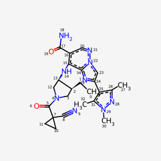 CC[C@H]1CN(C(=O)C2(C#N)CC2)C[C@H]1Nc1c(C(N)=O)cnn2cc(-c3c(C)nn(C)c3C)nc12